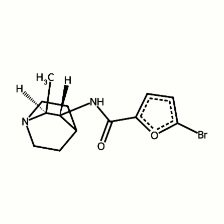 C[C@H]1[C@H](NC(=O)c2ccc(Br)o2)C2CCN1CC2